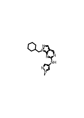 Cn1cc(Nc2ncc3cnn(CC4CCCCC4)c3n2)cn1